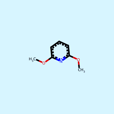 COc1cccc(OC)n1